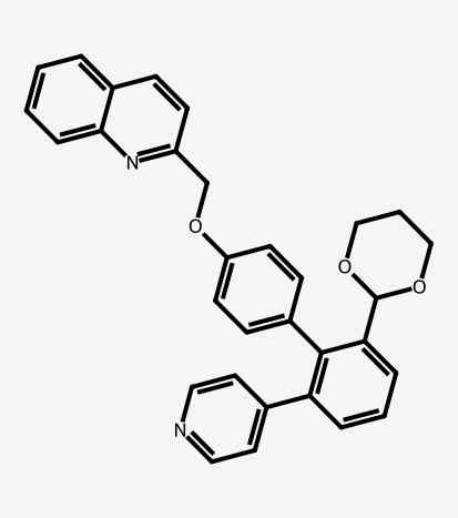 c1cc(-c2ccncc2)c(-c2ccc(OCc3ccc4ccccc4n3)cc2)c(C2OCCCO2)c1